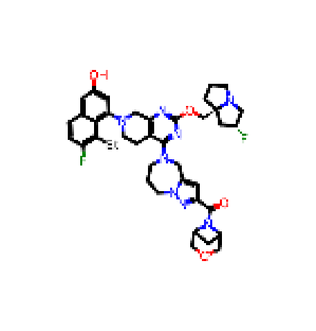 CCc1c(F)ccc2cc(O)cc(N3CCc4c(nc(OC[C@@]56CCCN5C[C@H](F)C6)nc4N4CCCn5nc(C(=O)N6C7COCC6C7)cc5C4)C3)c12